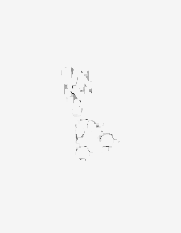 Clc1ncnc2c1ncn2COC(COCc1ccccc1)COCc1ccccc1